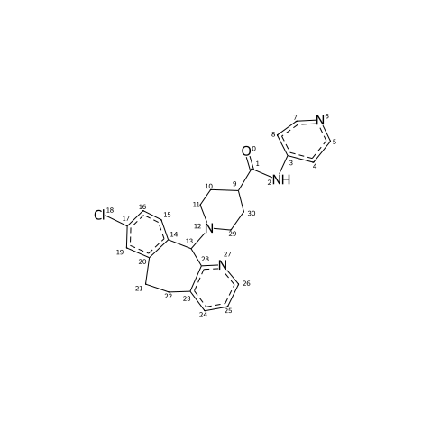 O=C(Nc1ccncc1)C1CCN(C2c3ccc(Cl)cc3CCc3cccnc32)CC1